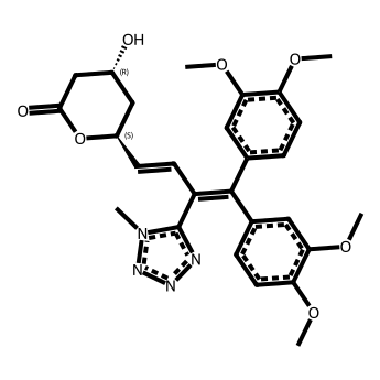 COc1ccc(C(=C(C=C[C@@H]2C[C@@H](O)CC(=O)O2)c2nnnn2C)c2ccc(OC)c(OC)c2)cc1OC